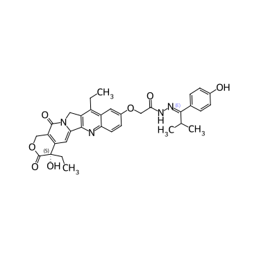 CCc1c2c(nc3ccc(OCC(=O)N/N=C(/c4ccc(O)cc4)C(C)C)cc13)-c1cc3c(c(=O)n1C2)COC(=O)[C@]3(O)CC